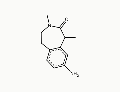 CC1C(=O)N(C)CCc2ccc(N)cc21